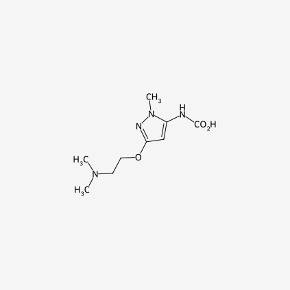 CN(C)CCOc1cc(NC(=O)O)n(C)n1